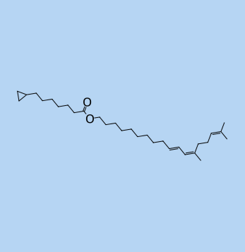 CC(C)=CCCC(C)=CC=CCCCCCCCCCOC(=O)CCCCCCC1CC1